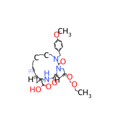 CCOCO[C@@H]1C[C@H]2C(=O)N[C@]3(C(=O)O)C[C@H]3/C=C\CCCCCN(Cc3ccc(OC)cc3)C(=O)N2C1